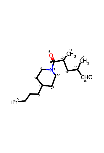 CC(C)CCCC1CCN(C(=O)C(C)CC(C)C=O)CC1